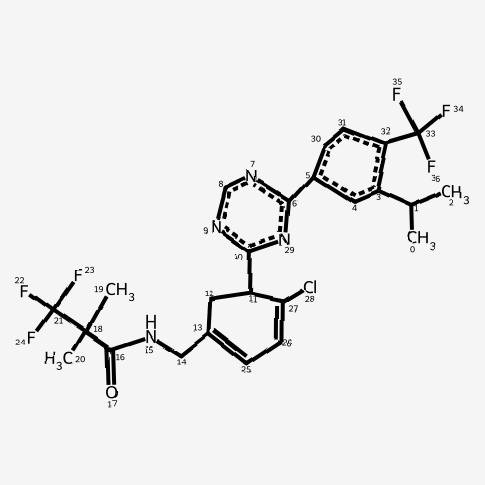 CC(C)c1cc(-c2ncnc(C3CC(CNC(=O)C(C)(C)C(F)(F)F)=CC=C3Cl)n2)ccc1C(F)(F)F